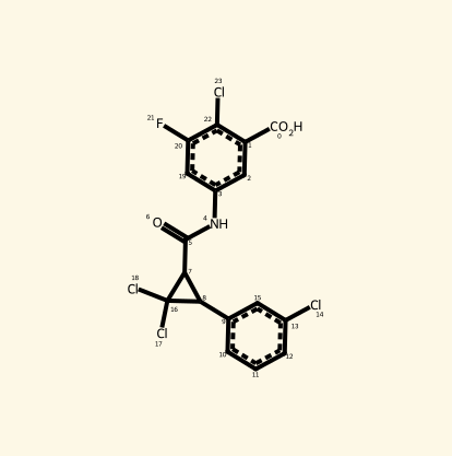 O=C(O)c1cc(NC(=O)C2C(c3cccc(Cl)c3)C2(Cl)Cl)cc(F)c1Cl